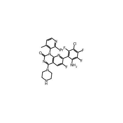 Cc1ccnc(C(C)C)c1-n1c(=O)nc(N2CCNCC2)c2cc(F)c(-c3c(N)c(F)c(F)c(Cl)c3F)nc21